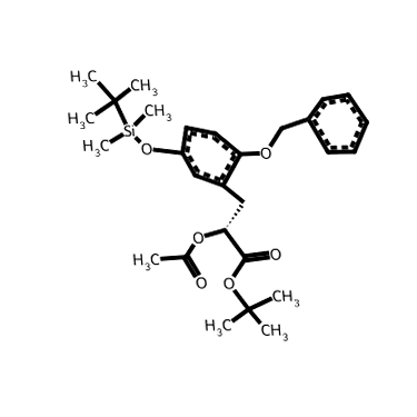 CC(=O)O[C@H](Cc1cc(O[Si](C)(C)C(C)(C)C)ccc1OCc1ccccc1)C(=O)OC(C)(C)C